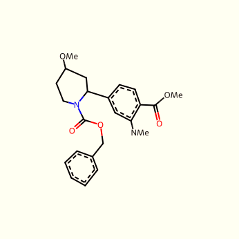 CNc1cc(C2CC(OC)CCN2C(=O)OCc2ccccc2)ccc1C(=O)OC